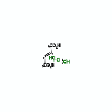 Cl.Cl.Cl.O=C(O)/C=C/C(=O)O